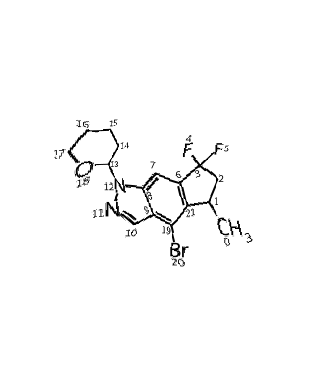 CC1CC(F)(F)c2cc3c(cnn3C3CCCCO3)c(Br)c21